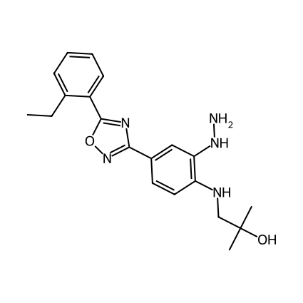 CCc1ccccc1-c1nc(-c2ccc(NCC(C)(C)O)c(NN)c2)no1